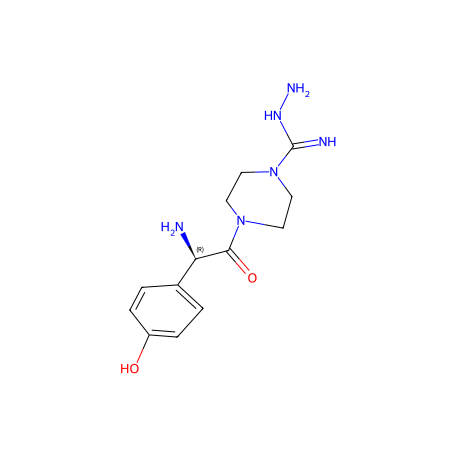 N=C(NN)N1CCN(C(=O)[C@H](N)c2ccc(O)cc2)CC1